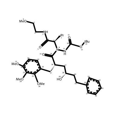 COCCNC(=O)[C@@H](C(C)C)N(NC(=O)OC(C)(C)C)C(=O)[C@@H](Cc1ccc(OC)c(OC)c1OC)C[C@@H](O)CCc1ccccc1